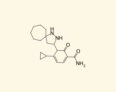 NC(=O)C1=CC=C(C2CC2)C(C2CC3(CCCCCC3)NN2)C1=O